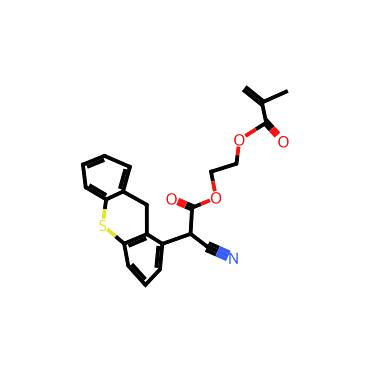 C=C(C)C(=O)OCCOC(=O)C(C#N)c1cccc2c1Cc1ccccc1S2